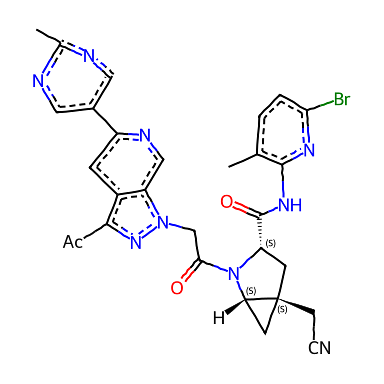 CC(=O)c1nn(CC(=O)N2[C@H]3C[C@@]3(CC#N)C[C@H]2C(=O)Nc2nc(Br)ccc2C)c2cnc(-c3cnc(C)nc3)cc12